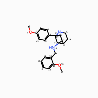 COc1ccc(C2C(NCc3ccccc3OC)C3CCN2CC3)cc1